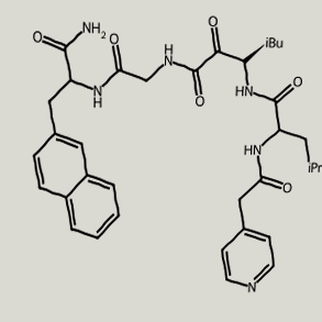 CC[C@H](C)C(NC(=O)C(CC(C)C)NC(=O)Cc1ccncc1)C(=O)C(=O)NCC(=O)NC(Cc1ccc2ccccc2c1)C(N)=O